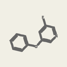 Fc1cncc(Oc2cc[c]cc2)c1